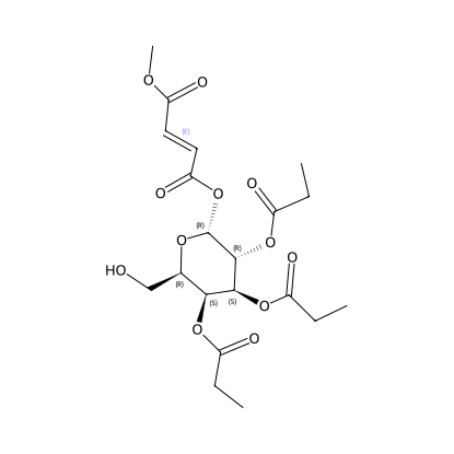 CCC(=O)O[C@H]1[C@@H](OC(=O)CC)[C@@H](CO)O[C@H](OC(=O)/C=C/C(=O)OC)[C@@H]1OC(=O)CC